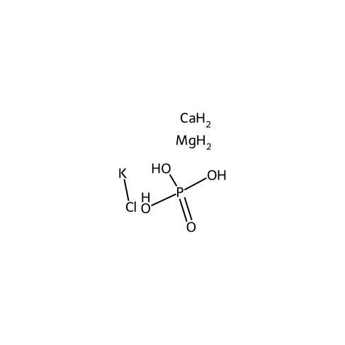 O=P(O)(O)O.[CaH2].[Cl][K].[MgH2]